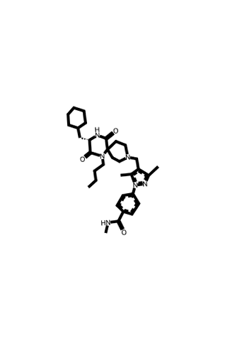 CCCCN1C(=O)[C@H](CC2CCCCC2)NC(=O)C12CCN(Cc1c(C)nn(-c3ccc(C(=O)NC)cc3)c1C)CC2